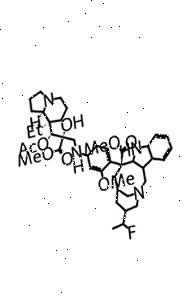 CC[C@@]1([C@@H](OC(C)=O)[C@@](O)(CNC2C=C(OC)C([C@@]3(C(=O)OC)CC4CC(C(C)F)CN(C4)CC4C5C=CC=CC5NC43)=CC2)C(=O)OC)CCCN2CCC[C@@H]21